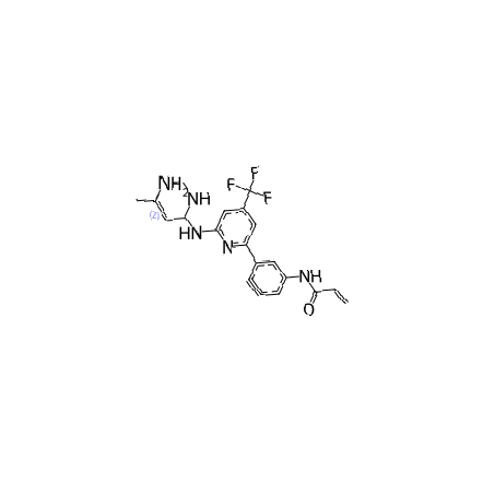 C=CC(=O)Nc1cc#cc(-c2cc(C(F)(F)F)cc(NC(/C=C(/C)N)NC)n2)c1